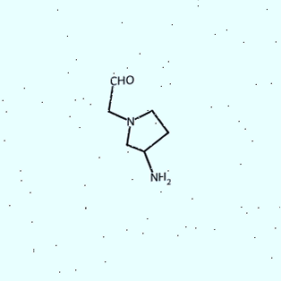 NC1CCN(CC=O)C1